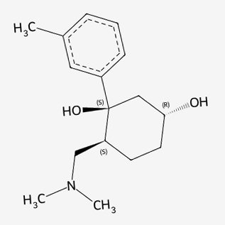 Cc1cccc([C@]2(O)C[C@H](O)CC[C@H]2CN(C)C)c1